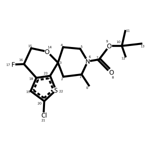 CC1CC2(CCN1C(=O)OC(C)(C)C)OCC(F)c1cc(Cl)sc12